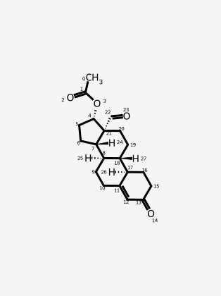 CC(=O)O[C@H]1CC[C@H]2[C@@H]3CCC4=CC(=O)CC[C@@H]4[C@H]3CC[C@]12C=O